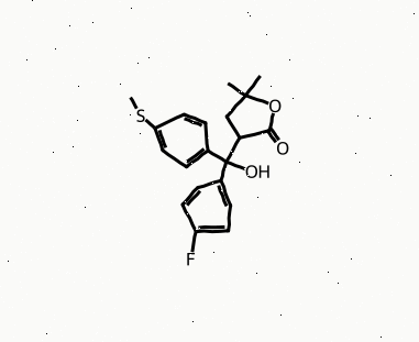 CSc1ccc(C(O)(c2ccc(F)cc2)C2CC(C)(C)OC2=O)cc1